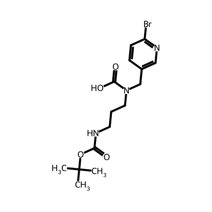 CC(C)(C)OC(=O)NCCCN(Cc1ccc(Br)nc1)C(=O)O